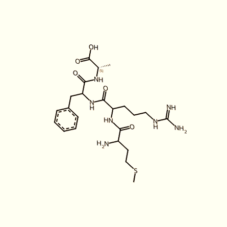 CSCCC(N)C(=O)NC(CCCNC(=N)N)C(=O)NC(Cc1ccccc1)C(=O)N[C@@H](C)C(=O)O